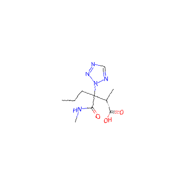 CCCC(C(=O)NC)(C(C)C(=O)O)n1ncnn1